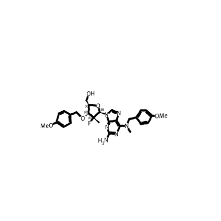 COc1ccc(CO[C@@H]2[C@@H](CO)O[C@@H](n3cnc4c(N(C)Cc5ccc(OC)cc5)nc(N)nc43)[C@]2(C)F)cc1